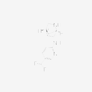 FC(F)c1ccc(N[C@@H]2C[C@@H]3CN[C@H]2C3)nc1